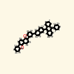 c1ccc(-c2c3ccccc3c(-c3ccc4cc(-c5ccc6oc7c(ccc8c7ccc7c9ccccc9oc78)c6c5)ccc4c3)c3ccccc23)cc1